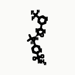 CC1(C)[C@H](c2ccc(S(N)(=O)=O)nc2)[C@H]1c1nc(-c2cncc(C(F)(F)F)c2)no1